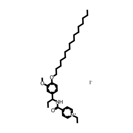 CCCCCCCCCCCCCCCCOc1ccc(C(CC)NC(=O)c2cc[n+](CC)cc2)cc1OC.[I-]